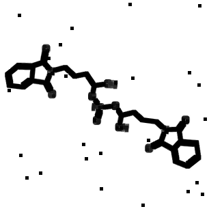 O=C1c2ccccc2C(=O)N1CCCC(O)O[PH](=O)OC(O)CCCN1C(=O)c2ccccc2C1=O